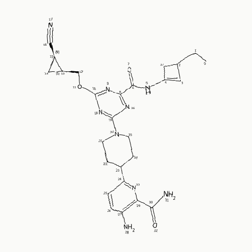 CCC1C=C(NC(=O)c2nc(OC[C@H]3C[C@H]3C#N)nc(N3CCC(c4ccc(N)c(C(N)=O)n4)CC3)n2)C1